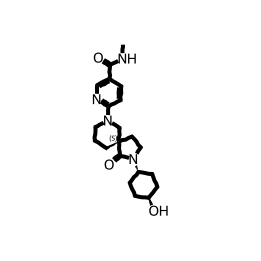 CNC(=O)c1ccc(N2CCC[C@]3(CCN([C@H]4CC[C@H](O)CC4)C3=O)C2)nc1